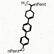 CCCCCOc1ccc(-c2ccc(C3=CCC(C(C)CCCCC)CC3)cc2)cc1